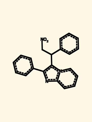 O=[N+]([O-])CC(c1ccccc1)c1c(-c2ccccc2)nc2ccccn12